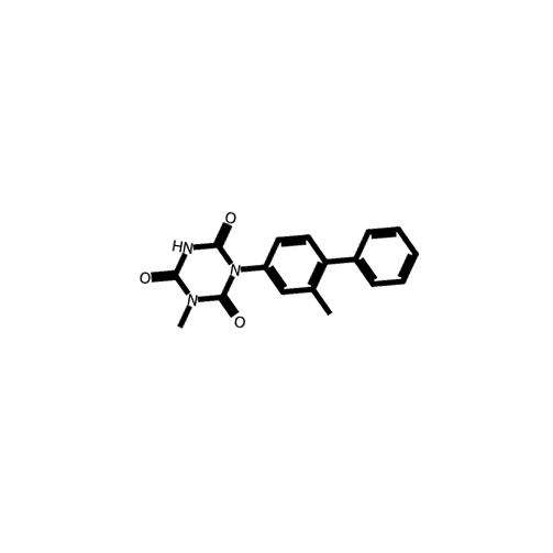 Cc1cc(-n2c(=O)[nH]c(=O)n(C)c2=O)ccc1-c1ccccc1